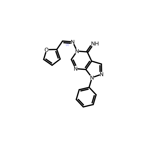 N=c1c2cnn(-c3ccccc3)c2ncn1/N=C\c1ccco1